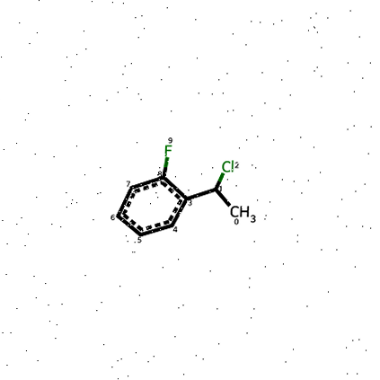 C[C](Cl)c1ccccc1F